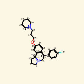 Fc1ccc([C@H]2CN3CCC[C@@H]3c3cc(OCCCN4CCCCC4)ccc32)cc1